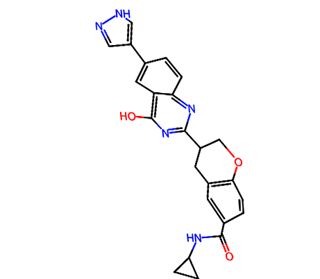 O=C(NC1CC1)c1ccc2c(c1)CC(c1nc(O)c3cc(-c4cn[nH]c4)ccc3n1)CO2